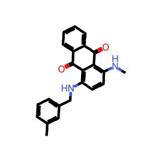 CNc1ccc(NCc2cccc(C)c2)c2c1C(=O)c1ccccc1C2=O